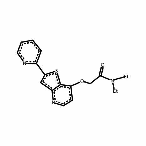 CCN(CC)C(=O)COc1ccnc2cc(-c3ccccn3)sc12